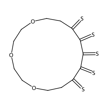 S=C1CCOCCOCCOCCC(=S)C(=S)C(=S)C1=S